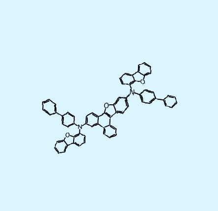 c1ccc(-c2ccc(N(c3ccc4c(c3)oc3c5ccc(N(c6ccc(-c7ccccc7)cc6)c6cccc7c6oc6ccccc67)cc5c5ccccc5c43)c3cccc4c3oc3ccccc34)cc2)cc1